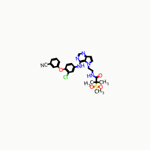 CC(C)(C(=O)NCCn1ccc2ncnc(Nc3ccc(Oc4cccc(C#N)c4)c(Cl)c3)c21)S(C)(=O)=O